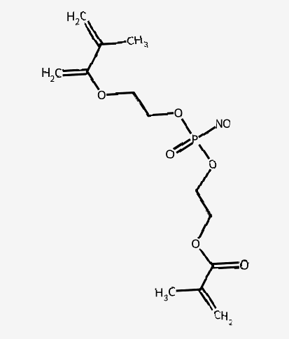 C=C(C)C(=C)OCCOP(=O)(N=O)OCCOC(=O)C(=C)C